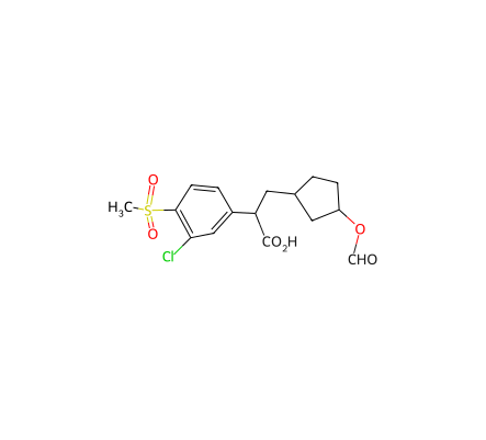 CS(=O)(=O)c1ccc(C(CC2CCC(OC=O)C2)C(=O)O)cc1Cl